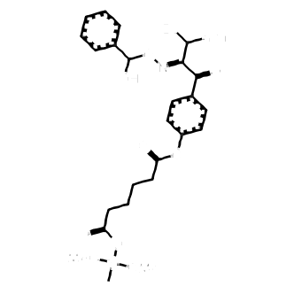 CCCCC(CC)/C(=N\OC(O)c1ccccc1)C(=O)c1ccc(OC(=O)CCCCC(=O)O[Si](C)(OC)OC)cc1